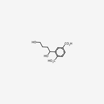 O=C(O)c1ccc(C(=O)O)c(C(O)CCCO)c1